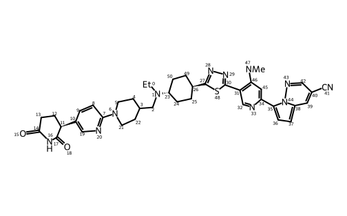 CCN(CC1CCN(c2ccc([C@@H]3CCC(=O)NC3=O)cn2)CC1)[C@H]1CC[C@H](c2nnc(-c3cnc(-c4ccc5cc(C#N)cnn45)cc3NC)s2)CC1